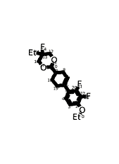 CCOc1ccc(C2=CCC(C3OCC(F)(CC)CO3)CC2)c(F)c1F